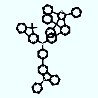 CC1(C)c2ccccc2-c2ccc(N(c3ccc(-c4ccc5c(c4)c4ccccc4n5-c4ccccc4)cc3)c3ccc(-c4cccc5c4C(c4ccccc4)(c4ccccc4)c4c(-c6ccccc6)sc(-c6ccccc6)c4-5)cc3)cc21